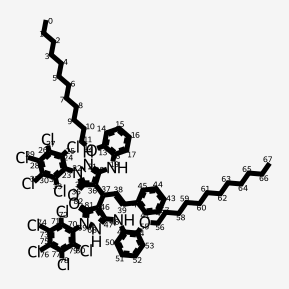 CCCCCCCCCCCCOc1ccccc1Nc1[nH]n(-c2c(Cl)c(Cl)c(Cl)c(Cl)c2Cl)c(=O)c1C(C=Cc1ccccc1)c1c(Nc2ccccc2OCCCCCCCCCCCC)[nH]n(-c2c(Cl)c(Cl)c(Cl)c(Cl)c2Cl)c1=O